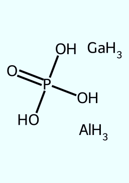 O=P(O)(O)O.[AlH3].[GaH3]